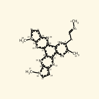 C/N=C/Cc1nc2c(nc1C)c1nc3ccn(C)c3nc1c1nc3c(ccn3C)nc21